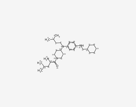 CC(C)CCN(c1ccc(NCC2CCCCC2)cc1)C1CCN(C(=O)C(N)CC(C)C)CC1